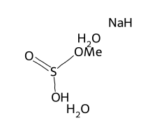 COS(=O)O.O.O.[NaH]